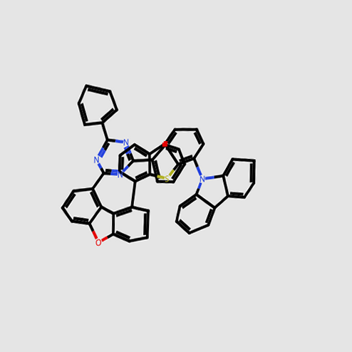 c1ccc(-c2nc(-c3ccccc3)nc(-c3cccc4oc5cccc(-c6cccc7c6sc6c(-n8c9ccccc9c9ccccc98)cccc67)c5c34)n2)cc1